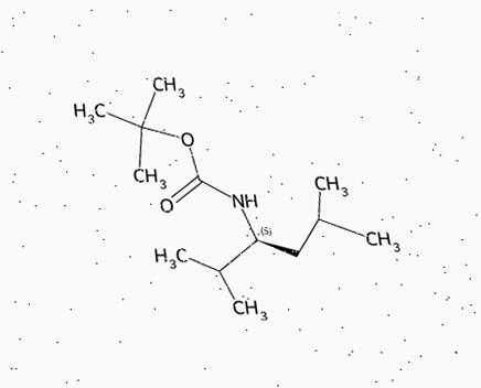 CC(C)C[C@H](NC(=O)OC(C)(C)C)C(C)C